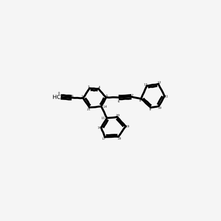 C#Cc1ccc(C#Cc2ccccc2)c(-c2ccccc2)c1